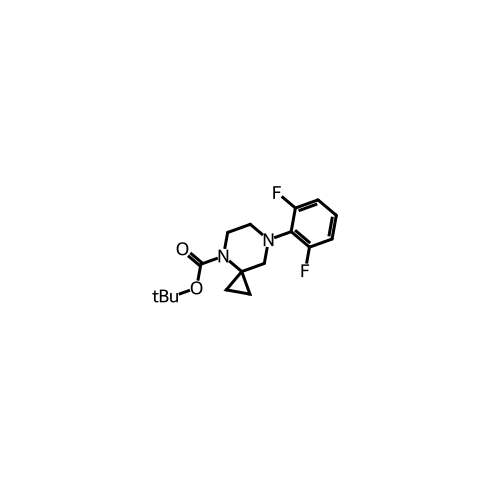 CC(C)(C)OC(=O)N1CCN(c2c(F)cccc2F)CC12CC2